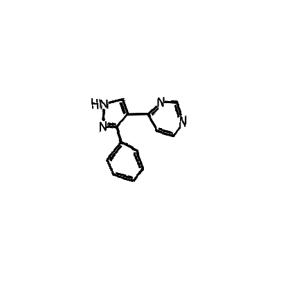 c1ccc(-c2n[nH]cc2-c2ccncn2)cc1